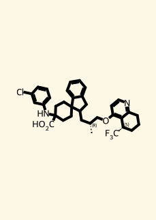 C[C@@H](COc1ccnc2c1[C@@H](C(F)(F)F)CCC2)CC1Cc2ccccc2C12CCC(Nc1cccc(Cl)c1)(C(=O)O)CC2